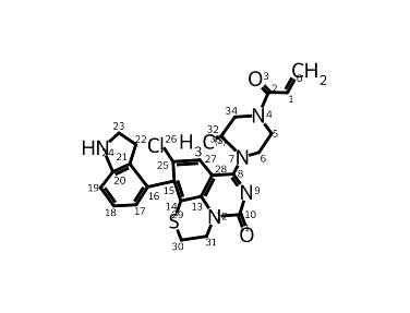 C=CC(=O)N1CCN(c2nc(=O)n3c4c(c(-c5cccc6c5CCN6)c(Cl)cc24)SCC3)[C@@H](C)C1